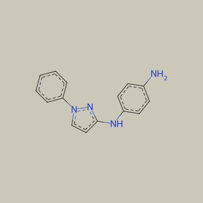 Nc1ccc(Nc2ccn(-c3ccccc3)n2)cc1